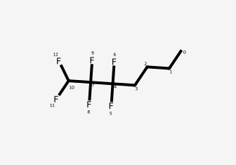 CCCCC(F)(F)C(F)(F)[C](F)F